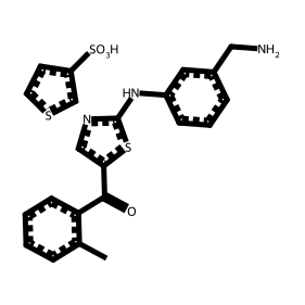 Cc1ccccc1C(=O)c1cnc(Nc2cccc(CN)c2)s1.O=S(=O)(O)c1ccsc1